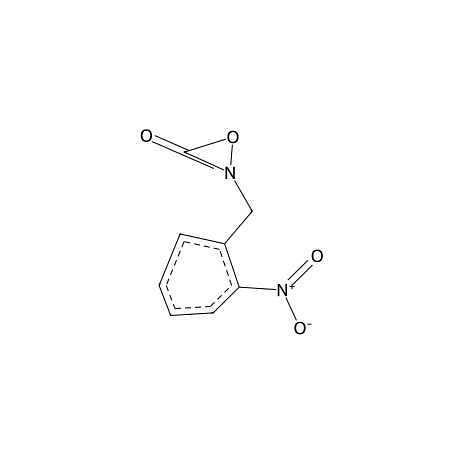 O=C1ON1Cc1ccccc1[N+](=O)[O-]